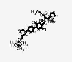 CCOC(=O)C(c1nc(F)n2c1CCC2)n1cc2c(Cl)cc(-c3ccc(N4CCOC(CO[Si](C)(C)C(C)(C)C)C4)cc3)c(Cl)c2n1